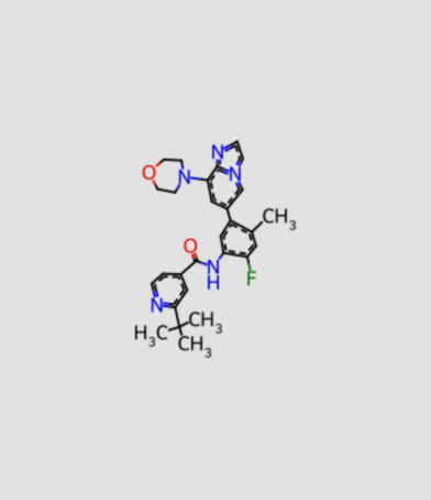 Cc1cc(F)c(NC(=O)c2ccnc(C(C)(C)C)c2)cc1-c1cc(N2CCOCC2)c2nccn2c1